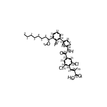 CCCCCCCC(OC)c1cccc(-c2csc(NC(=O)c3cc(Cl)c(/C=C(\C)C(=O)O)c(Cl)c3)n2)c1F